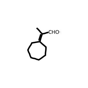 CC([C]=O)=C1CCCCCC1